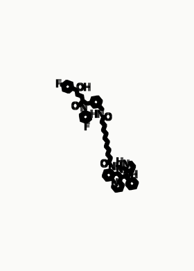 O=C(CCCCCCCCCCC(=O)Nc1ccccc1C(Nc1ccccn1)C(c1ccccn1)C(O)c1ccccc1)NCc1cccc(C2C(CCC(O)c3ccc(F)cc3)C(=O)N2c2ccc(F)cc2)c1